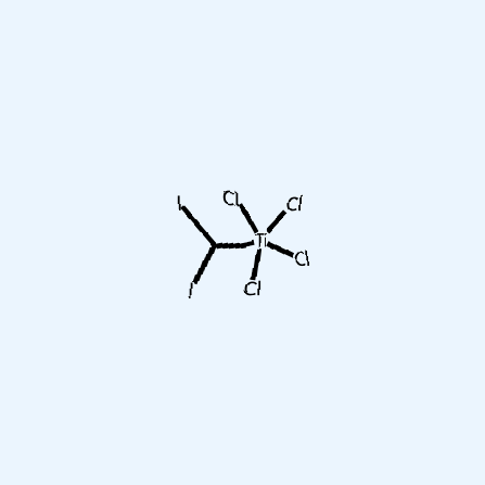 [Cl][Ti]([Cl])([Cl])([Cl])[CH](I)I